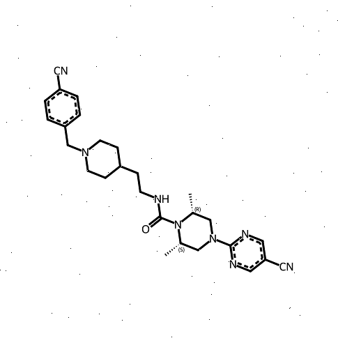 C[C@@H]1CN(c2ncc(C#N)cn2)C[C@H](C)N1C(=O)NCCC1CCN(Cc2ccc(C#N)cc2)CC1